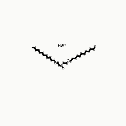 Br.CCCCCCCCCCCCOCCN(C)CCOCCCCCCCCCCCC